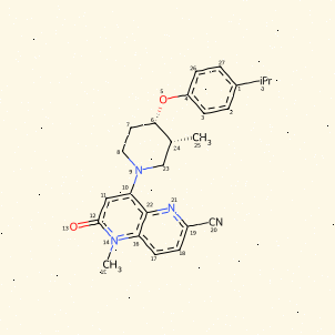 CC(C)c1ccc(O[C@H]2CCN(c3cc(=O)n(C)c4ccc(C#N)nc34)C[C@H]2C)cc1